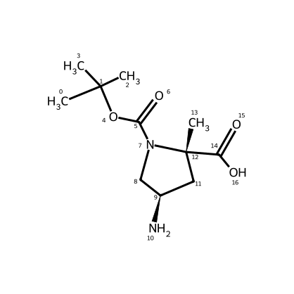 CC(C)(C)OC(=O)N1C[C@H](N)C[C@@]1(C)C(=O)O